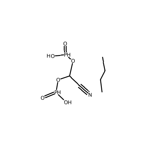 CCCC.N#CC(O[PH](=O)O)O[PH](=O)O